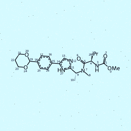 COC(=O)N[C@@H](C(=O)N(C)[C@H](C)c1ncc(-c2ccc(C3OCCCO3)cc2)[nH]1)C(C)C